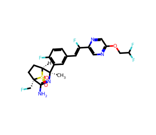 C[C@]1(c2cc(/C=C(\F)c3cnc(OCC(F)F)cn3)ccc2F)N=C(N)[C@@]2(CF)CC[C@@H]1S2(=O)=O